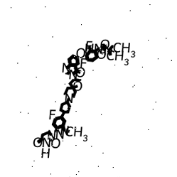 CCN(C)S(=O)(=O)Nc1ccc(F)c(Oc2ccc3ncn(C4COC5(CCN(C6CCC(c7cc8c(cc7F)c(N7CCC(=O)NC7=O)nn8C)CC6)CC5)C4)c(=O)c3c2)c1F